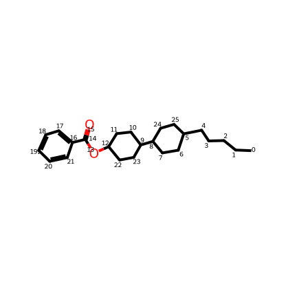 CCCCCC1CCC(C2CCC(OC(=O)c3cc[c]cc3)CC2)CC1